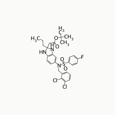 CCCC1(CC(=O)OC(C)(C)C)Nc2ccc(N(Cc3cccc(Cl)c3Cl)S(=O)(=O)c3ccc(F)cc3)cc2N1